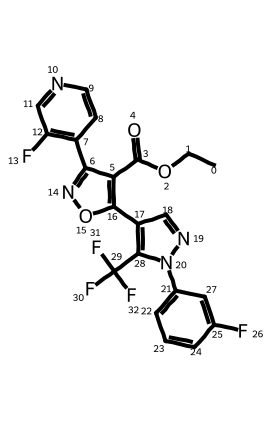 CCOC(=O)c1c(-c2ccncc2F)noc1-c1cnn(-c2cccc(F)c2)c1C(F)(F)F